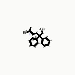 CC/C(C)=C/CC(CO)(c1ccccc1)c1ccccc1